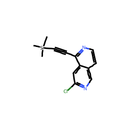 C[Si](C)(C)C#Cc1nccc2cnc(Cl)cc12